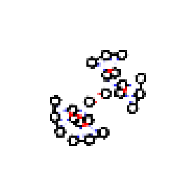 c1ccc(-n2c3ccccc3c3ccc4c5ccccc5n(-c5ccc(N(c6ccc(-n7c8ccccc8c8ccc9c%10ccccc%10n(-c%10ccccc%10)c9c87)cc6)c6ccc7c(c6)Oc6ccc(N(c8ccc(-n9c%10ccccc%10c%10ccc%11c%12ccccc%12n(-c%12ccccc%12)c%11c%109)cc8)c8ccc(-n9c%10ccccc%10c%10ccc%11c%12ccccc%12n(-c%12ccccc%12)c%11c%109)cc8)cc6O7)cc5)c4c32)cc1